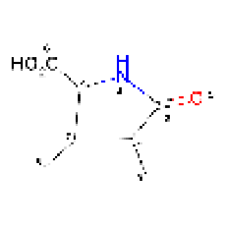 CC1C(=O)NC(C(=O)O)C1C